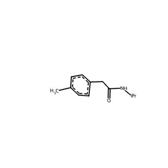 Cc1ccc(CC(=O)NC(C)C)cc1